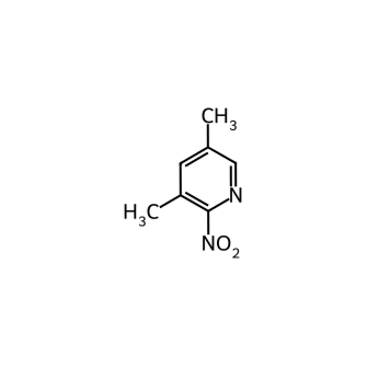 Cc1cnc([N+](=O)[O-])c(C)c1